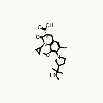 CNC(C)(C)C1CCN(c2c(F)cc3c(c2OC)N(C2CC2)C(=O)[C@H](C(=O)O)C3)C1